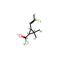 CC(F)=CC1C(C(=O)Cl)C1(C)C